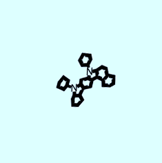 c1ccc(-n2c3ccccc3c3cc4c5c6ccccc6ccc5n(-c5ccccc5)c4cc32)cc1